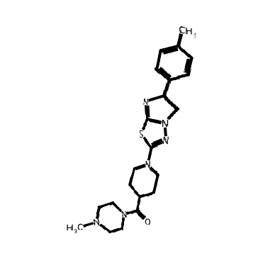 Cc1ccc(C2CN3N=C(N4CCC(C(=O)N5CCN(C)CC5)CC4)SC3=N2)cc1